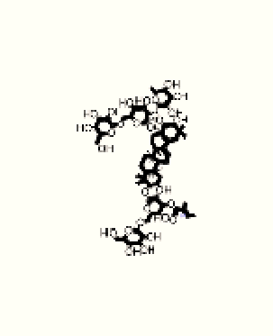 C/C=C(\C)C(=O)OC1[C@H](O)C(CO[C@@H]2OC(CO)[C@@H](O)C(O)[C@@H]2O)O[C@@H](O[C@H]2CC[C@@]3(C)C(CC[C@]4(C)C3CC=C3C5CC(C)(C)[C@@H](O)[C@H](O)[C@]5(CO[C@@H]5OC(COC6OC(CO)[C@@H](O)[C@@H](O)C6O)[C@@H](O)C(O)[C@@H]5O[C@@H]5OC(C)[C@H](O)C(O)[C@@H]5O)CC[C@]34C)C2(C)C)[C@H]1O